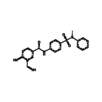 CN(c1ccccc1)S(=O)(=O)c1ccc(NC(=O)c2ccc(=N)n(C=N)c2)cc1